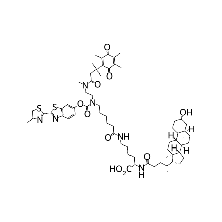 CC1=C(C)C(=O)C(C(C)(C)CC(=O)N(C)CCN(CCCCCC(=O)NCCCCC(NC(=O)CC[C@@H](C)[C@H]2CC[C@H]3[C@@H]4CC[C@@H]5C[C@H](O)CC[C@]5(C)[C@H]4CC[C@]23C)C(=O)O)C(=O)Oc2ccc3nc(C4=NC(C)CS4)sc3c2)=C(C)C1=O